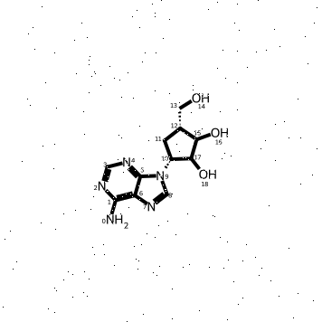 Nc1ncnc2c1ncn2[C@@H]1C[C@H](CO)C(O)C1O